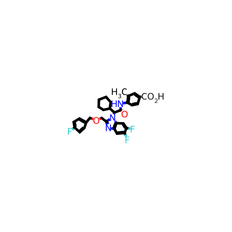 Cc1cc(C(=O)O)ccc1NC(=O)C(C1CCCCC1)n1c(COCc2ccc(F)cc2)nc2cc(F)c(F)cc21